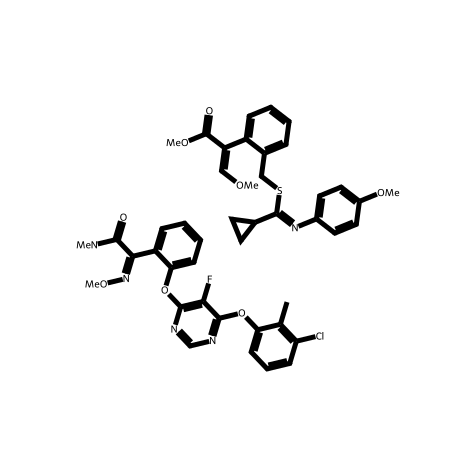 CNC(=O)/C(=N\OC)c1ccccc1Oc1ncnc(Oc2cccc(Cl)c2C)c1F.CO/C=C(/C(=O)OC)c1ccccc1CS/C(=N\c1ccc(OC)cc1)C1CC1